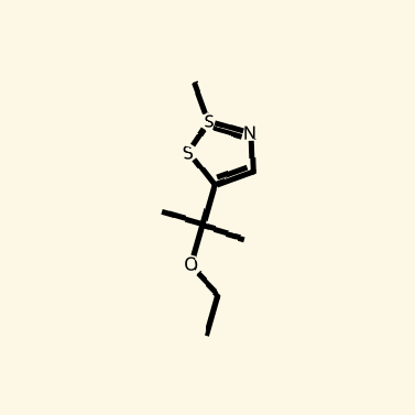 CCOC(C)(C)C1=CN=S(C)S1